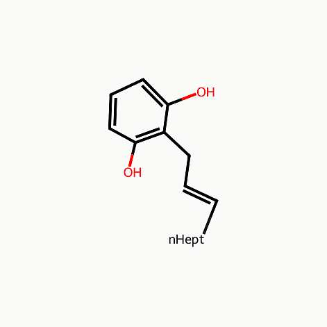 CCCCCCCC=CCc1c(O)cccc1O